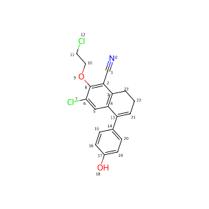 N#Cc1c2c(cc(Cl)c1OCCCl)C(c1ccc(O)cc1)=CCC2